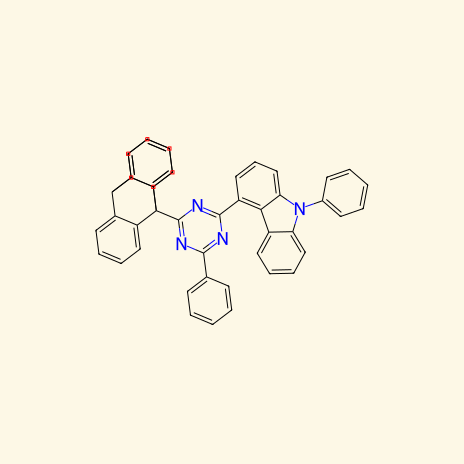 c1ccc(-c2nc(-c3cccc4c3c3ccccc3n4-c3ccccc3)nc(C34c5ccccc5C(c5ccccc53)c3ccccc34)n2)cc1